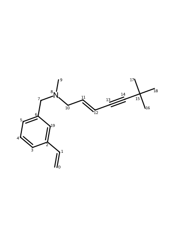 C=Cc1cccc(CN(C)CC=CC#CC(C)(C)C)c1